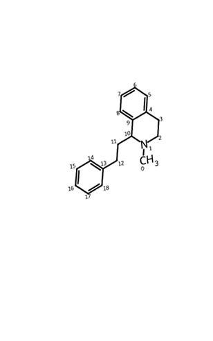 CN1CCc2ccccc2C1CCc1ccccc1